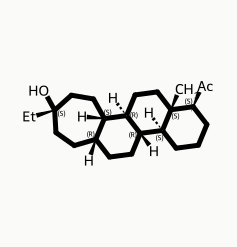 CC[C@]1(O)CC[C@H]2CC[C@@H]3[C@H](CC[C@]4(C)[C@@H](C(C)=O)CCC[C@@H]34)[C@H]2CC1